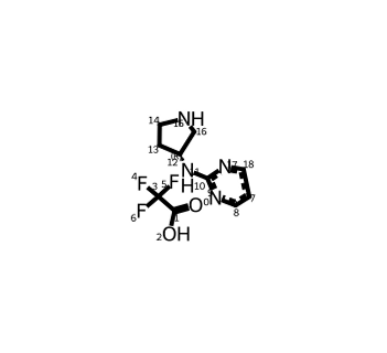 O=C(O)C(F)(F)F.c1cnc(N[C@@H]2CCNC2)nc1